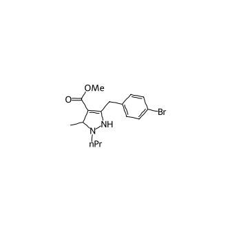 CCCN1NC(Cc2ccc(Br)cc2)=C(C(=O)OC)C1C